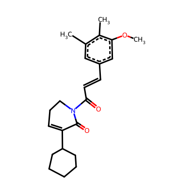 COc1cc(/C=C/C(=O)N2CCC=C(C3CCCCC3)C2=O)cc(C)c1C